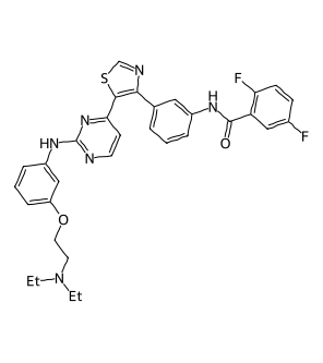 CCN(CC)CCOc1cccc(Nc2nccc(-c3scnc3-c3cccc(NC(=O)c4cc(F)ccc4F)c3)n2)c1